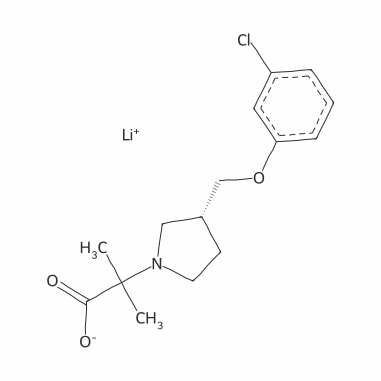 CC(C)(C(=O)[O-])N1CC[C@@H](COc2cccc(Cl)c2)C1.[Li+]